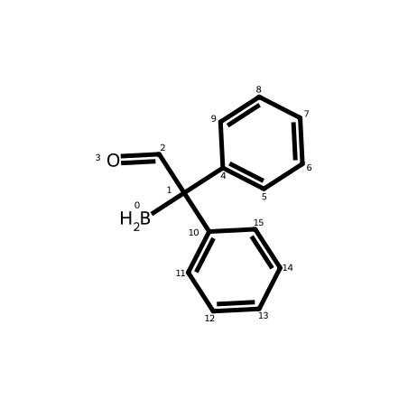 BC(C=O)(c1ccccc1)c1ccccc1